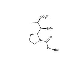 CCOC(=O)[C@H](C)[C@@H](SC)[C@@H]1CCCN1C(=O)OC(C)(C)C